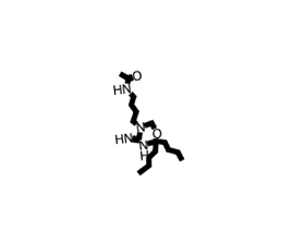 CCCCC1(CCCC)NC(=N)N(CCCCNC(C)=O)CO1